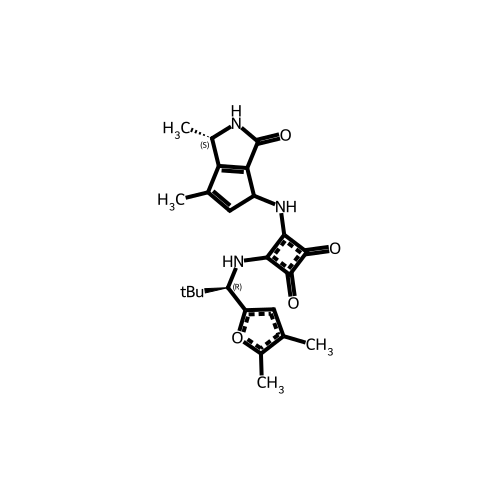 CC1=CC(Nc2c(N[C@@H](c3cc(C)c(C)o3)C(C)(C)C)c(=O)c2=O)C2=C1[C@H](C)NC2=O